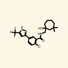 CC1(C)CCCCC(O)(CNC(=O)c2cc(-c3cc(C(F)(F)F)[nH]n3)ccc2Cl)C1